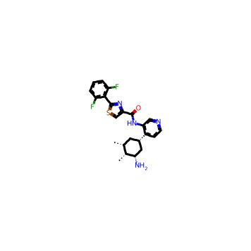 C[C@@H]1[C@H](C)C[C@H](c2ccncc2NC(=O)c2csc(-c3c(F)cccc3F)n2)C[C@@H]1N